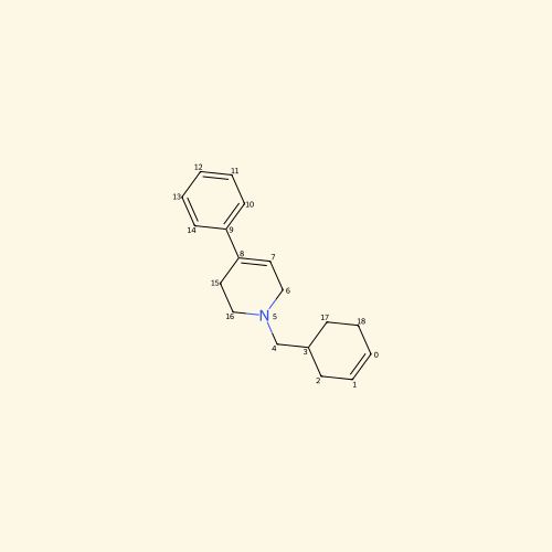 C1=CCC(CN2CC=C(c3ccccc3)CC2)CC1